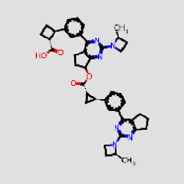 C[C@H]1CCN1c1nc2c(c(-c3cccc([C@H]4C[C@@H]4C(=O)OC4CCc5c(-c6cccc([C@@H]7CC[C@H]7C(=O)O)c6)nc(N6CC[C@@H]6C)nc54)c3)n1)CCC2